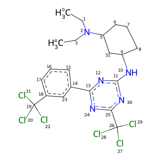 CCN(CC)C1CCCC(Nc2nc(-c3cccc(C(Cl)(Cl)Cl)c3)nc(C(Cl)(Cl)Cl)n2)C1